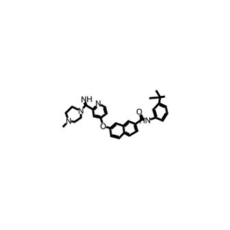 CN1CCN(C(=N)c2cc(Oc3ccc4ccc(C(=O)Nc5cccc(C(C)(C)C)c5)cc4c3)ccn2)CC1